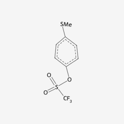 CSc1ccc(OS(=O)(=O)C(F)(F)F)cc1